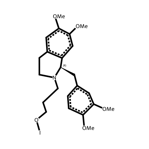 COc1ccc(C[C@@H]2c3cc(OC)c(OC)cc3CCN2CCCOI)cc1OC